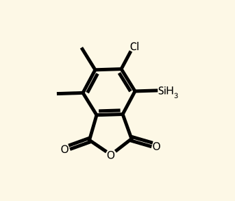 Cc1c(C)c2c(c([SiH3])c1Cl)C(=O)OC2=O